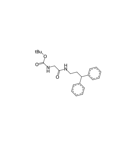 CC(C)(C)OC(=O)NCC(=O)NCCC(c1ccccc1)c1ccccc1